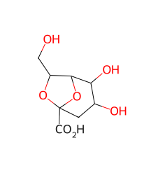 O=C(O)C12CC(O)C(O)C(O1)C(CO)O2